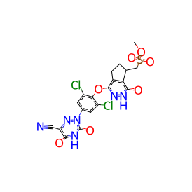 COS(=O)(=O)CC1CCc2c(Oc3c(Cl)cc(-n4nc(C#N)c(=O)[nH]c4=O)cc3Cl)n[nH]c(=O)c21